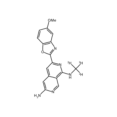 [2H]C([2H])([2H])Nc1nc(-c2nc3cc(OC)ccc3o2)cc2cc(N)ncc12